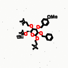 COc1ccc(CO[C@H]2[C@@H](OCC[Si](C)(C)C)[C@@H](CO[Si](C)(C)C(C)(C)C)O[C@H](OCC[Si](C)(C)C)[C@@H]2OCc2ccccc2)cc1